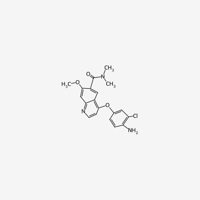 COc1cc2nccc(Oc3ccc(N)c(Cl)c3)c2cc1C(=O)N(C)C